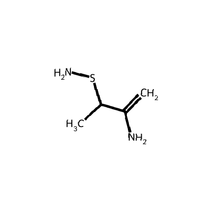 C=C(N)C(C)SN